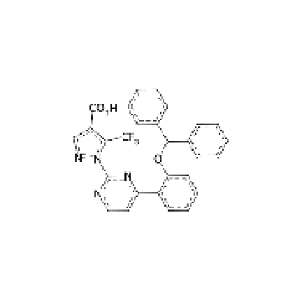 O=C(O)c1cnn(-c2nccc(-c3ccccc3OC(c3ccccc3)c3ccccc3)n2)c1C(F)(F)F